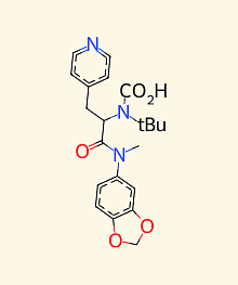 CN(C(=O)C(Cc1ccncc1)N(C(=O)O)C(C)(C)C)c1ccc2c(c1)OCO2